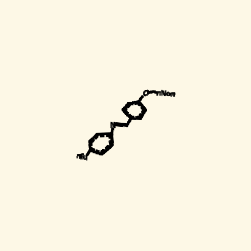 CCCCCCCCCOc1ccc(/C=N/c2ccc(CCCC)cc2)cc1